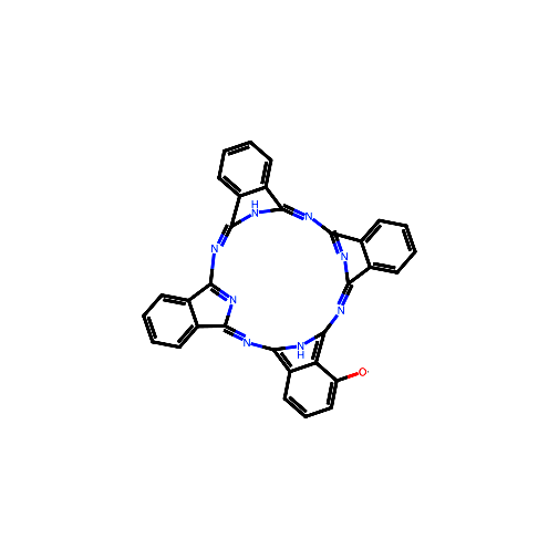 [O]c1cccc2c3nc4nc(nc5[nH]c(nc6nc(nc([nH]3)c12)-c1ccccc1-6)c1ccccc51)-c1ccccc1-4